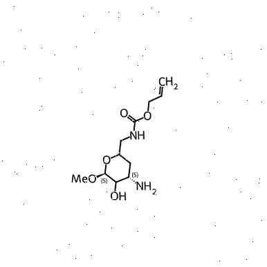 C=CCOC(=O)NCC1C[C@H](N)C(O)[C@@H](OC)O1